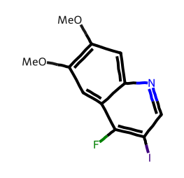 COc1cc2ncc(I)c(F)c2cc1OC